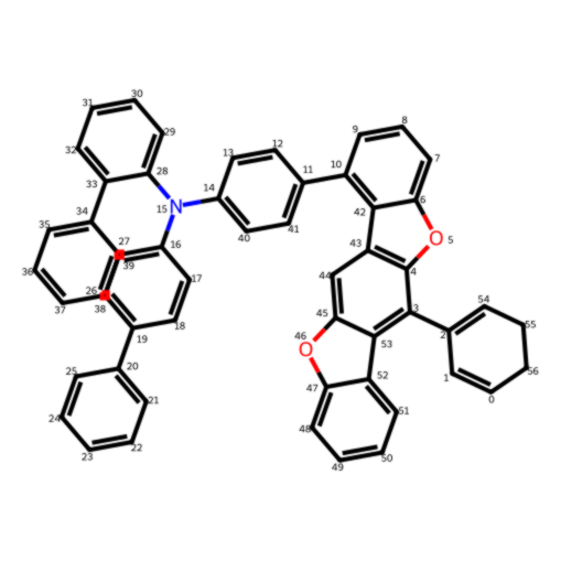 C1=CC(c2c3oc4cccc(-c5ccc(N(c6ccc(-c7ccccc7)cc6)c6ccccc6-c6ccccc6)cc5)c4c3cc3oc4ccccc4c23)=CCC1